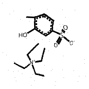 CC[N+](CC)(CC)CC.Cc1ccc(S(=O)(=O)[O-])cc1O